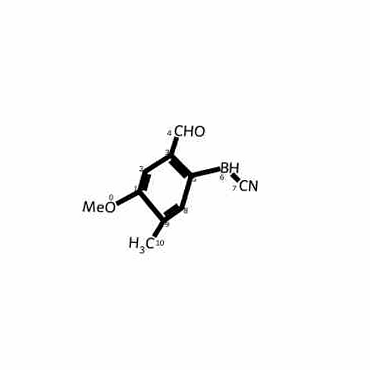 COc1cc(C=O)c(BC#N)cc1C